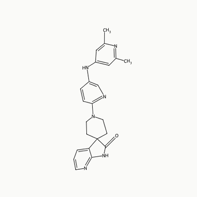 Cc1cc(Nc2ccc(N3CCC4(CC3)C(=O)Nc3ncccc34)nc2)cc(C)n1